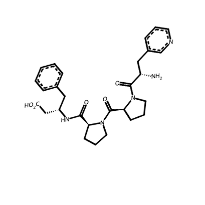 N[C@@H](Cc1cccnc1)C(=O)N1CCC[C@H]1C(=O)N1CCC[C@H]1C(=O)N[C@H](CC(=O)O)Cc1ccccc1